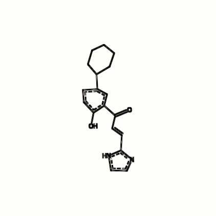 O=C(/C=C/c1ncc[nH]1)c1cc(C2CCCCC2)ccc1O